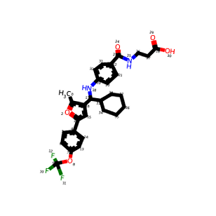 Cc1oc(-c2ccc(OC(F)(F)F)cc2)cc1C(Nc1ccc(C(=O)NCCC(=O)O)cc1)C1CCCCC1